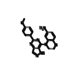 COc1ccc(-c2nc(N3CCOc4ccc(N)cc43)c3[nH]ncc3n2)cc1